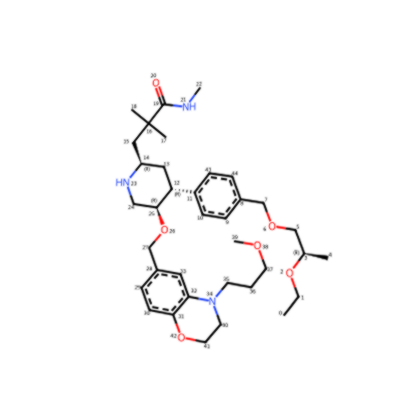 CCO[C@H](C)COCc1ccc([C@H]2C[C@H](CC(C)(C)C(=O)NC)NC[C@@H]2OCc2ccc3c(c2)N(CCCOC)CCO3)cc1